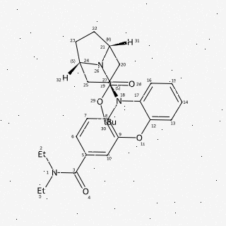 CCN(CC)C(=O)c1ccc2c(c1)Oc1ccccc1N2[C@@H]1C[C@H]2CC[C@@H](C1)N2C(=O)OC(C)(C)C